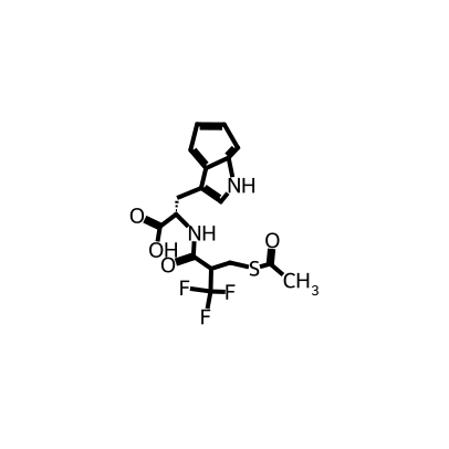 CC(=O)SCC(C(=O)N[C@@H](Cc1c[nH]c2ccccc12)C(=O)O)C(F)(F)F